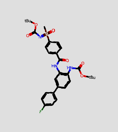 CC(C)(C)OC(=O)N=S(C)(=O)c1ccc(C(=O)Nc2cc(-c3ccc(F)cc3)ccc2NC(=O)OC(C)(C)C)cc1